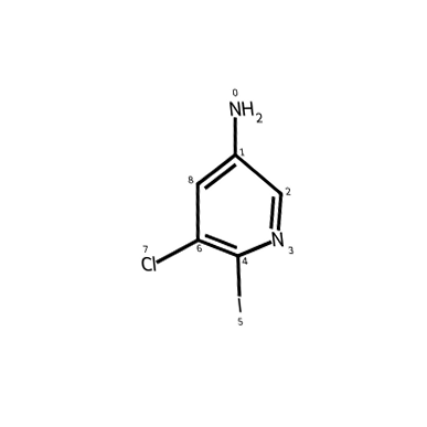 Nc1cnc(I)c(Cl)c1